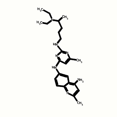 CCN(CC)C(C)CCCNc1nc(C)cc(Nc2ccc3nc(C)cc(N)c3c2)n1